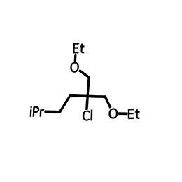 CCOCC(Cl)(CCC(C)C)COCC